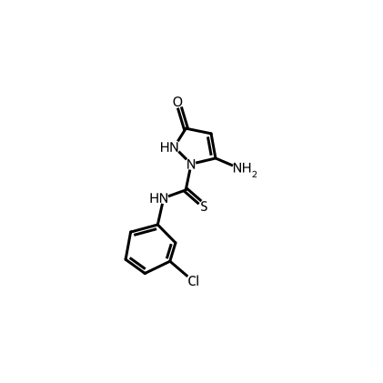 Nc1cc(=O)[nH]n1C(=S)Nc1cccc(Cl)c1